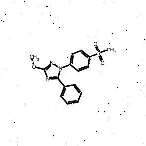 COc1nc(-c2ccccc2)n(-c2ccc(S(C)(=O)=O)cc2)n1